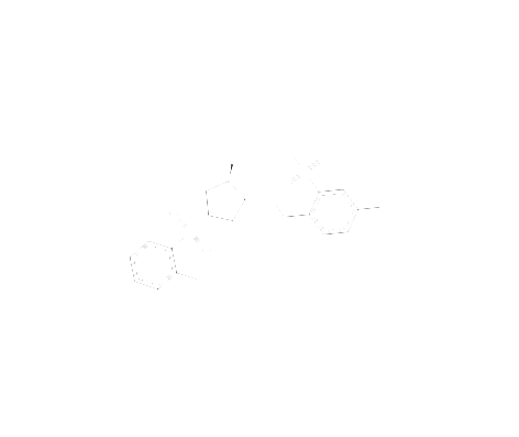 CS(=O)(=O)c1cc(Cl)ccc1CO[C@@H]1C[C@H](S(=O)(=O)c2ccccc2Cl)C[C@H]1C(=O)O